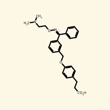 CN(C)CCO/N=C(/c1ccccc1)c1cccc(COc2ccc(CCC(=O)O)cc2)c1